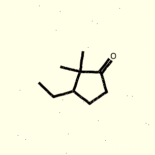 CCC1CCC(=O)C1(C)C